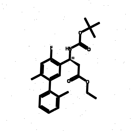 CCOC(=O)C[C@H](NC(=O)OC(C)(C)C)c1cc(-c2ccccc2C)c(C)cc1F